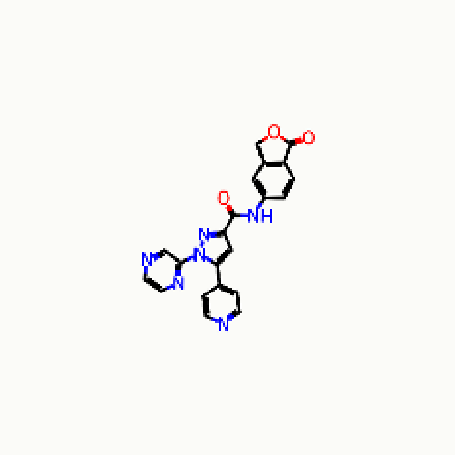 O=C(Nc1ccc2c(c1)COC2=O)c1cc(-c2ccncc2)n(-c2cnccn2)n1